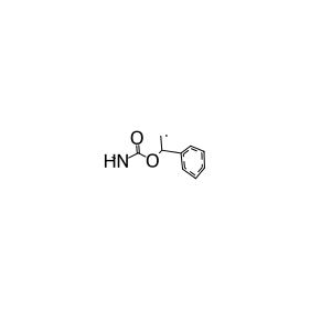 [CH2]C(OC(=O)NC)c1ccccc1